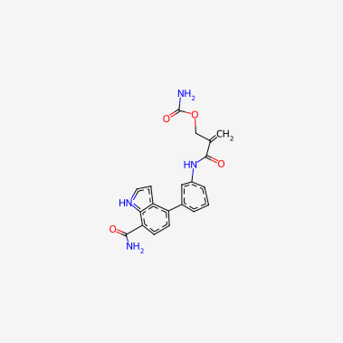 C=C(COC(N)=O)C(=O)Nc1cccc(-c2ccc(C(N)=O)c3[nH]ccc23)c1